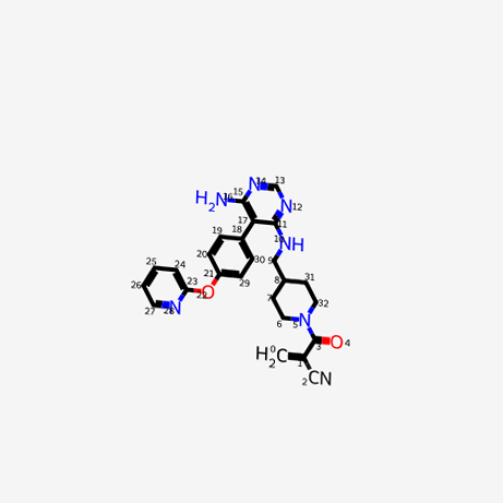 C=C(C#N)C(=O)N1CCC(CNc2ncnc(N)c2-c2ccc(Oc3ccccn3)cc2)CC1